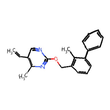 C=Cc1cnc(OCc2cccc(-c3ccccc3)c2C)nc1C